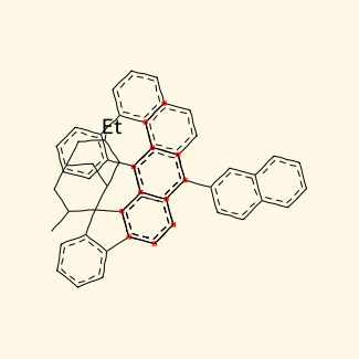 CCC1CC2CC(C)C3(c4ccccc4-c4ccc5ccc(-c6ccccc6-c6ccccc6-c6c7ccccc7c(-c7ccc8ccccc8c7)c7ccccc67)cc5c43)C(C1)C2